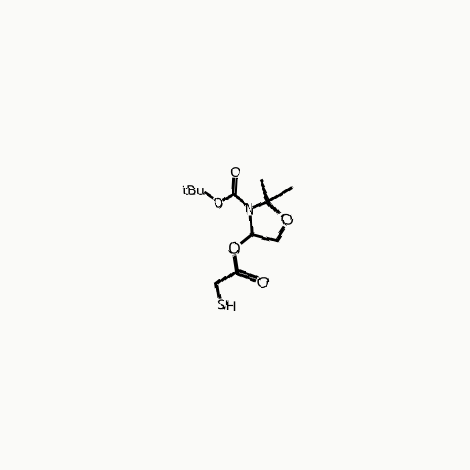 CC(C)(C)OC(=O)N1C(OC(=O)CS)COC1(C)C